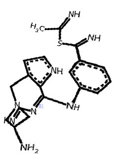 CC(=N)SC(=N)c1cccc(N/C(=N/C=N)c2[nH]ccc2CN2CC(N)C2)c1